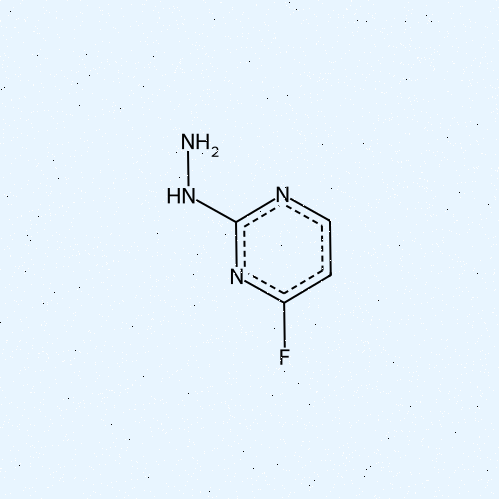 NNc1nccc(F)n1